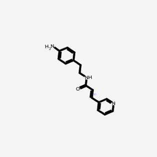 Nc1ccc(CCNC(=O)/C=C/c2cccnc2)cc1